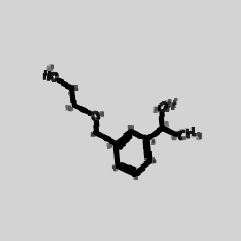 CC(O)c1cccc(COCCO)c1